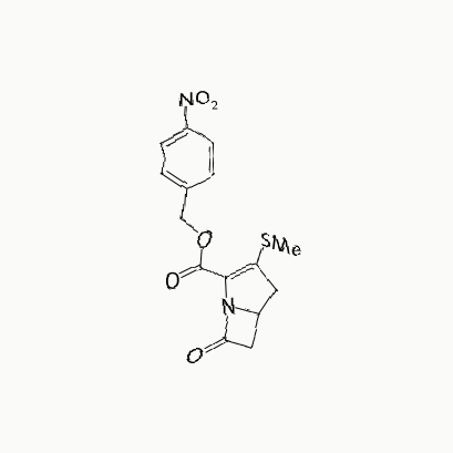 CSC1=C(C(=O)OCc2ccc([N+](=O)[O-])cc2)N2C(=O)CC2C1